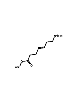 CCCCCCCCC/C=C/CCC(=O)OCCCC